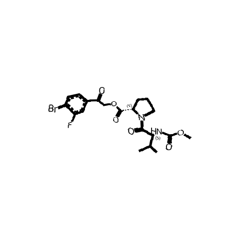 COC(=O)N[C@H](C(=O)N1CCC[C@H]1C(=O)OCC(=O)c1ccc(Br)c(F)c1)C(C)C